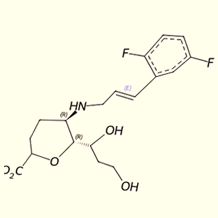 O=C(O)C1CC[C@@H](NC/C=C/c2cc(F)ccc2F)[C@H](C(O)CCO)O1